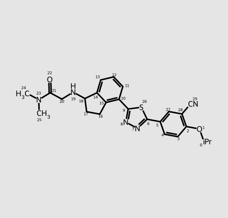 CC(C)Oc1ccc(-c2nnc(-c3cccc4c3CCC4NCC(=O)N(C)C)s2)cc1C#N